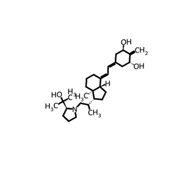 C=C1[C@H](O)CC(=C/C=C2\CCC[C@]3(C)[C@@H](C(C)CN4CCC[C@H]4C(C)(C)O)CC[C@@H]23)C[C@H]1O